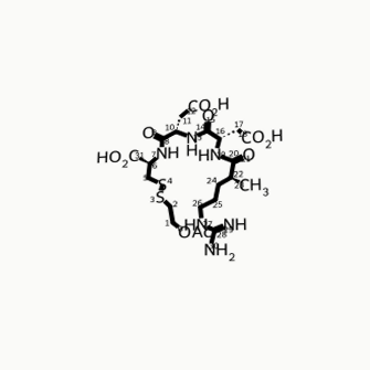 CC(=O)OCCSSC[C@H](NC(=O)[C@H](CC(=O)O)NC(=O)[C@H](CC(=O)O)NC(=O)[C@@H](C)CCCNC(=N)N)C(=O)O